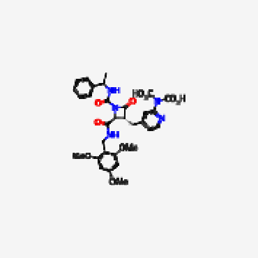 COc1cc(OC)c(CNC(=O)[C@@H]2[C@@H](Cc3ccnc(N(C(=O)O)C(=O)O)c3)C(=O)N2C(=O)NC(C)c2ccccc2)c(OC)c1